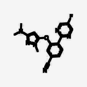 CN(C)c1cc(Oc2cc(C#N)ccc2-c2ncc(F)cn2)n(C)n1